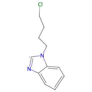 ClCCCCn1[c]nc2ccccc21